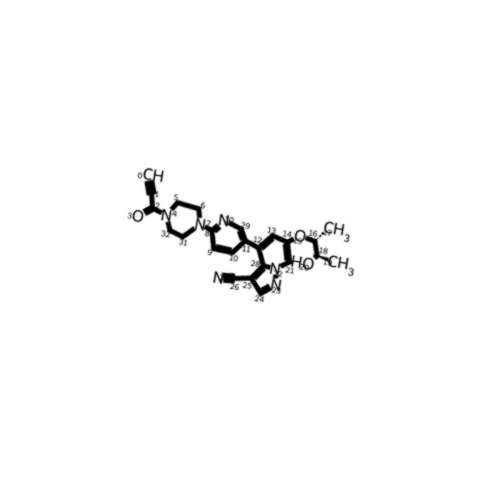 C#CC(=O)N1CCN(c2ccc(-c3cc(O[C@H](C)[C@@H](C)O)cn4ncc(C#N)c34)cn2)CC1